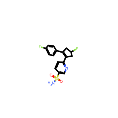 NS(=O)(=O)c1ccc(C2=C(c3ccc(F)cc3)CC(F)C2)nc1